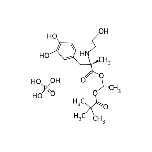 C[C@H](OC(=O)C(C)(C)C)OC(=O)[C@](C)(Cc1ccc(O)c(O)c1)NCCO.O=P(O)(O)O